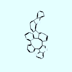 c1ccc2c(c1)-c1ccccc1-c1c(cnc3cccnc13)-c1cccc(-c3cccc4c3oc3ccccc34)c1-2